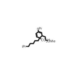 CCCC1=CC(CCOC)C(CCCCCC(C)C)(C(=O)O)C=C1